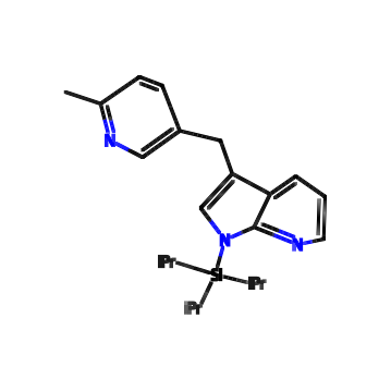 Cc1ccc(Cc2cn([Si](C(C)C)(C(C)C)C(C)C)c3ncccc23)cn1